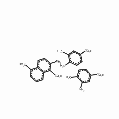 Cc1cc(S(=O)(=O)O)ccc1N.Cc1ccc(S(=O)(=O)O)cc1N.Nc1ccc2c(S(=O)(=O)O)cccc2c1S(=O)(=O)O